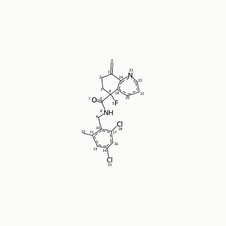 C=C1CCC(F)(C(=O)NCc2c(C)cc(Cl)cc2Cl)c2cccnc21